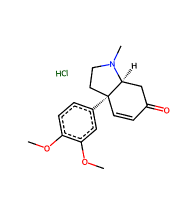 COc1ccc([C@@]23C=CC(=O)C[C@@H]2N(C)CC3)cc1OC.Cl